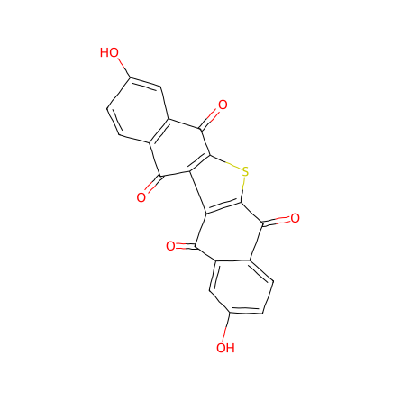 O=c1c2cc(O)ccc2c(=O)c2c1sc1c(=O)c3ccc(O)cc3c(=O)c12